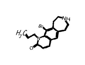 CCCN1C(=O)CCc2cc3c(c(Br)c21)CCNCC3